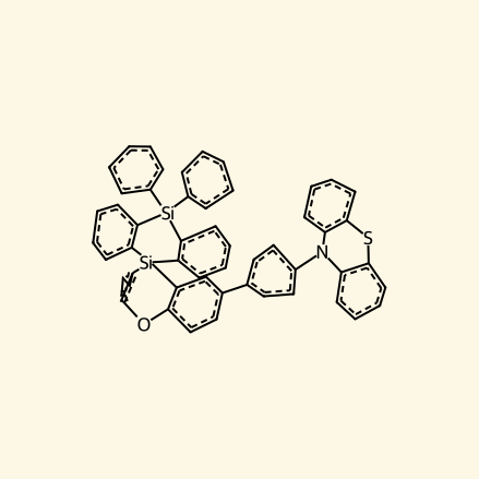 c1ccc([Si]2(c3ccccc3)c3ccccc3[Si]3(c4ccccc4Oc4ccc(-c5ccc(N6c7ccccc7Sc7ccccc76)cc5)cc43)c3ccccc32)cc1